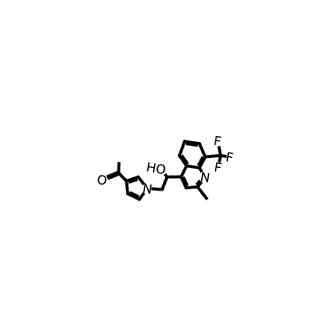 CC(=O)c1ccn(CC(O)c2cc(C)nc3c(C(F)(F)F)cccc23)c1